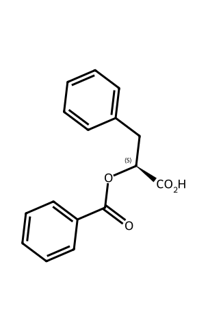 O=C(O[C@@H](Cc1ccccc1)C(=O)O)c1ccccc1